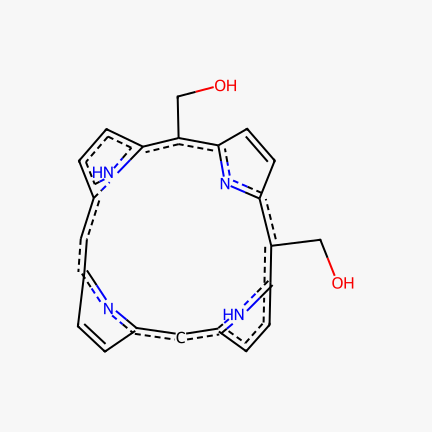 OCc1c2nc(c(CO)c3ccc(cc4nc(cc5ccc1[nH]5)C=C4)[nH]3)C=C2